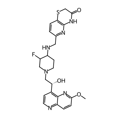 COc1ccc2nccc([C@@H](O)CN3CCC(NCc4ccc5c(n4)NC(=O)CS5)C(F)C3)c2n1